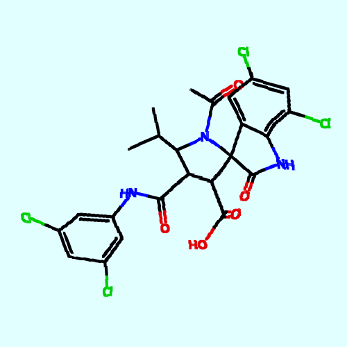 CC(=O)N1C(C(C)C)C(C(=O)Nc2cc(Cl)cc(Cl)c2)C(C(=O)O)C12C(=O)Nc1c(Cl)cc(Cl)cc12